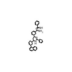 N=C(OC(N)C1=CC=CC(C2CC(C3CC=CC(c4cccc5ccccc45)C3)NC(C3=CC=CCC3)=N2)C1)c1ccccc1